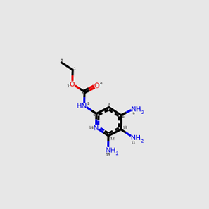 CCOC(=O)Nc1cc(N)c(N)c(N)n1